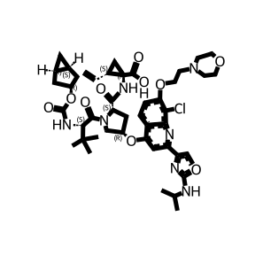 C=C[C@@H]1C[C@]1(NC(=O)[C@@H]1C[C@@H](Oc2cc(-c3coc(NC(C)C)n3)nc3c(Cl)c(OCCN4CCOCC4)ccc23)CN1C(=O)[C@@H](NC(=O)O[C@@H]1C[C@@H]2C[C@@H]2C1)C(C)(C)C)C(=O)O